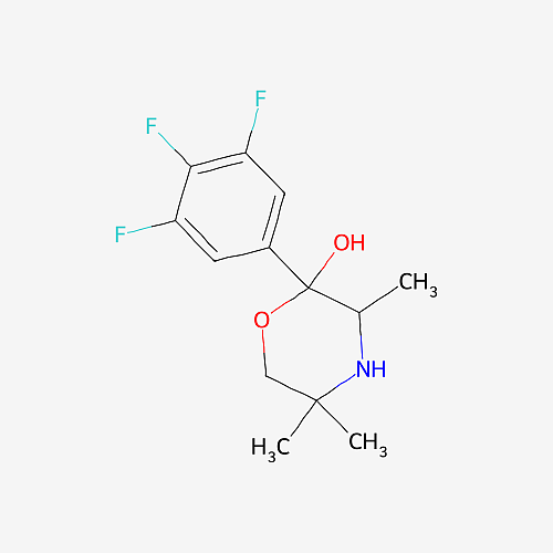 CC1NC(C)(C)COC1(O)c1cc(F)c(F)c(F)c1